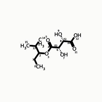 CCC(OC(=O)[C@@H](O)[C@H](O)C(=O)O)C(C)C